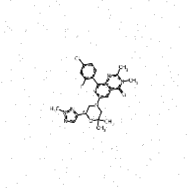 Cc1nc2c(-c3ccc(Cl)cc3F)nc(N3C[C@H](c4cnn(C)n4)OC(C)(C)C3)cc2c(=O)n1C